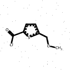 COCc1ccc(C(=O)Cl)s1